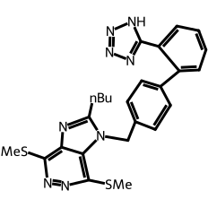 CCCCc1nc2c(SC)nnc(SC)c2n1Cc1ccc(-c2ccccc2-c2nnn[nH]2)cc1